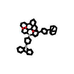 C1=C=C(c2cccc3cccc(C4=CC=CCC4)c23)C(N(c2ccc(-c3ccc(C45CC6CC(CC(C6)C4)C5)cc3)cc2)c2ccc(-n3c4ccccc4c4ccccc43)cc2)=CC=1